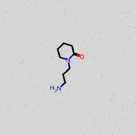 NCCCN1CCCCC1=O